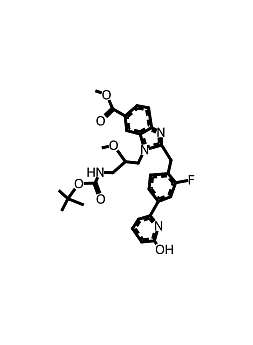 COC(=O)c1ccc2nc(Cc3ccc(-c4cccc(O)n4)cc3F)n(CC(CNC(=O)OC(C)(C)C)OC)c2c1